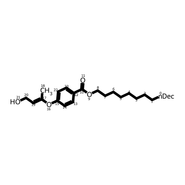 CCCCCCCCCCCCCCCCCCOC(=O)c1ccc(O/C(C)=C/CO)cc1